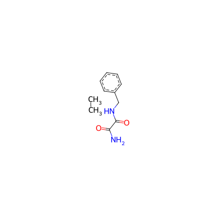 CC.NC(=O)C(=O)NCc1ccccc1